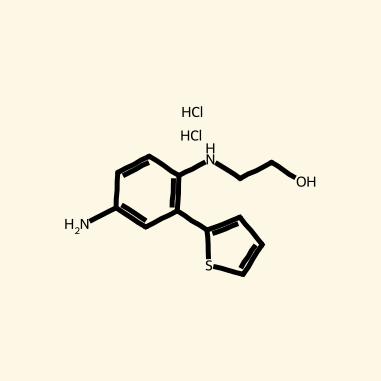 Cl.Cl.Nc1ccc(NCCO)c(-c2cccs2)c1